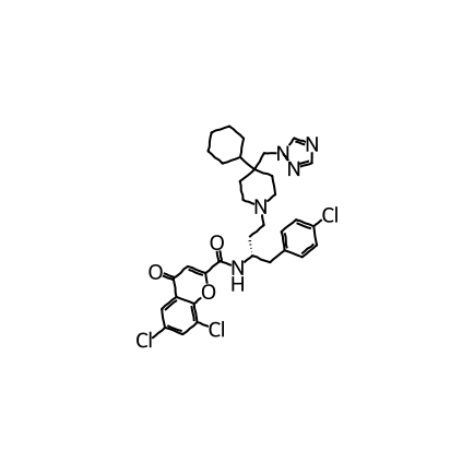 O=C(N[C@H](CCN1CCC(Cn2cncn2)(C2CCCCC2)CC1)Cc1ccc(Cl)cc1)c1cc(=O)c2cc(Cl)cc(Cl)c2o1